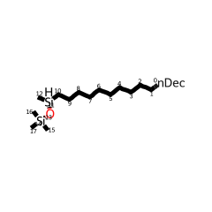 CCCCCCCCCCCCCCCCCCCC[SiH](C)O[Si](C)(C)C